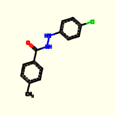 Cc1ccc(C(=O)NNc2ccc(Cl)cc2)cc1